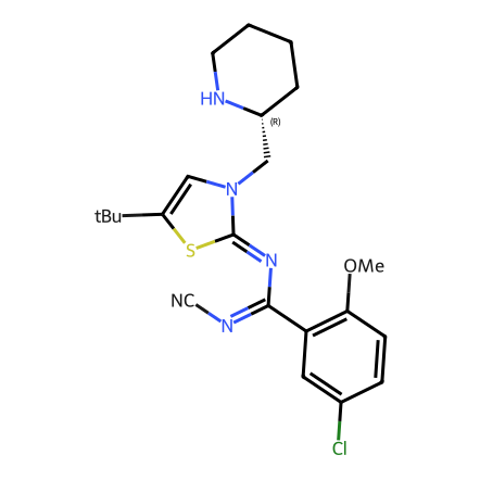 COc1ccc(Cl)cc1C(=NC#N)N=c1sc(C(C)(C)C)cn1C[C@H]1CCCCN1